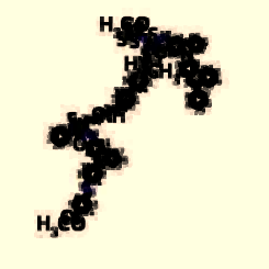 COC(=O)c1ccc(/C=C/c2ccc(N3c4ccc(/C=C5\C(=O)N(c6ccccc6)C(=S)N5CCONCC[n+]5ccc(-c6cc[n+](C(C)NC(=O)Cn7c(=O)/c(=C\c8ccc9c(c8)C8CCCC8N9c8ccc(C=C(c9ccccc9)c9ccccc9)cc8)s/c7=C7/SC(=S)N(C)C7=O)cc6)cc5)cc4C4CCCC43)cc2)cc1